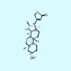 CC[C@H](C1=CC(=O)OC1)[C@@]1(C)CC[C@H]2[C@@H](CC[C@@H]3C[C@@H](O)CC[C@@]32C)[C@H]1O